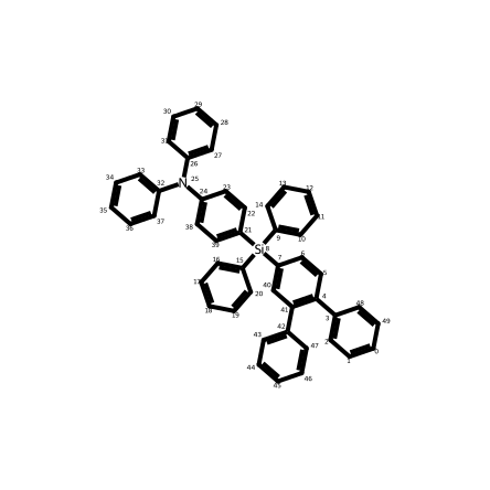 c1ccc(-c2ccc([Si](c3ccccc3)(c3ccccc3)c3ccc(N(c4ccccc4)c4ccccc4)cc3)cc2-c2ccccc2)cc1